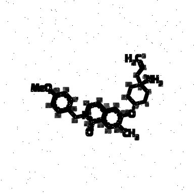 C=CC[C@]1(N)CC[C@H](Oc2cc3ccn(Cc4ccc(OC)cc4)c(=O)c3cc2C)CC1